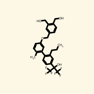 CCCc1cc(C(O)(C(F)(F)F)C(F)(F)F)ccc1-c1cc(OCc2ccc(CO)c(CO)c2)ccc1C